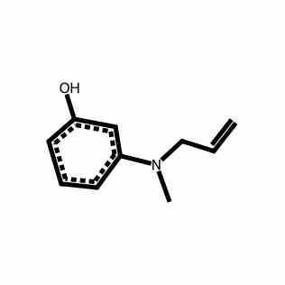 C=CCN(C)c1cccc(O)c1